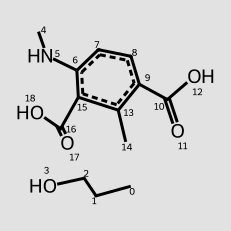 CCCO.CNc1ccc(C(=O)O)c(C)c1C(=O)O